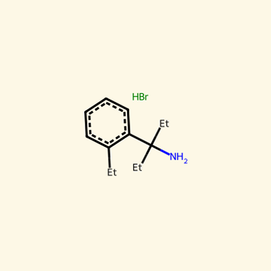 Br.CCc1ccccc1C(N)(CC)CC